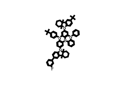 CC(C)(C)c1ccc(N2c3ccc(N4c5ccc(-c6cccc(F)c6)cc5C5(C)CCCCC45C)cc3B3c4ccccc4N(c4ccccc4)c4cc(N5c6ccc(C(C)(C)C)cc6C6(C)CCCCC56C)cc2c43)cc1